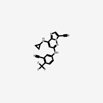 N#Cc1cc(Nc2cc(NC3CC3)c3ncc(C#N)n3n2)ccc1C(F)(F)F